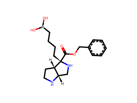 O=C(OCc1ccccc1)[C@]1(CCCCB(O)O)NC[C@@H]2NCC[C@@H]21